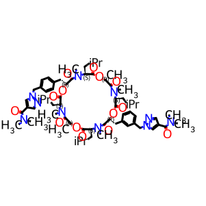 CC(C)C[C@H]1C(=O)O[C@H](Cc2cccc(Cn3cc(C(=O)N(C)C)cn3)c2)C(=O)N(C)[C@@H](CC(C)C)C(=O)O[C@H](C)C(=O)N(C)[C@@H](CC(C)C)C(=O)O[C@H](Cc2ccc(Cn3cc(C(=O)N(C)C)cn3)cc2)C(=O)N(C)[C@@H](CC(C)C)C(=O)O[C@H](C)C(=O)N1C